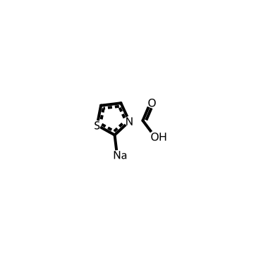 O=CO.[Na][c]1nccs1